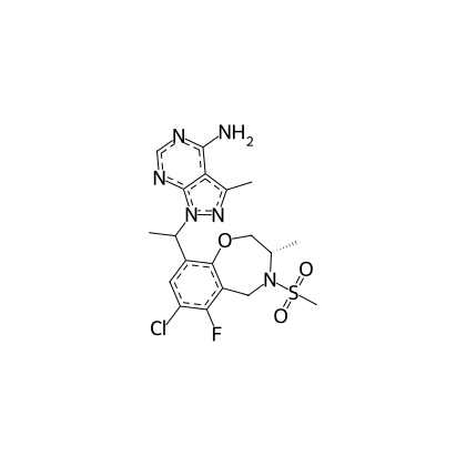 Cc1nn(C(C)c2cc(Cl)c(F)c3c2OC[C@H](C)N(S(C)(=O)=O)C3)c2ncnc(N)c12